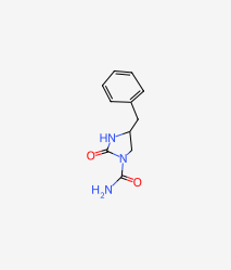 NC(=O)N1CC(Cc2ccccc2)NC1=O